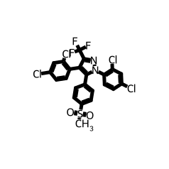 CS(=O)(=O)c1ccc(-c2c(-c3ccc(Cl)cc3Cl)c(C(F)(F)F)nn2-c2ccc(Cl)cc2Cl)cc1